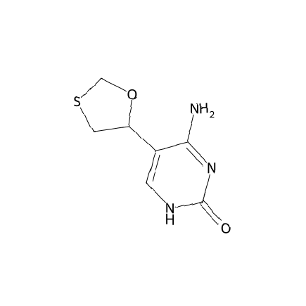 Nc1nc(=O)[nH]cc1C1CSCO1